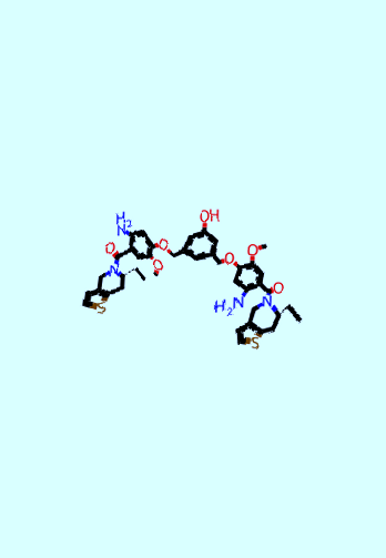 CC[C@@H]1Cc2sccc2CN1C(=O)c1cc(OC)c(OCc2cc(O)cc(COc3cc(N)c(C(=O)N4Cc5ccsc5C[C@H]4CC)cc3OC)c2)cc1N